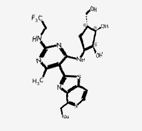 Cc1nc(NCC(F)(F)F)nc(NC2C[C@H](CO)[C@@H](O)[C@H]2O)c1-c1nc2c(CC(C)(C)C)nccc2s1